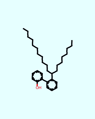 CCCCCCCCCCCC(CCCCCCCC)c1ccccc1-c1ccccc1O